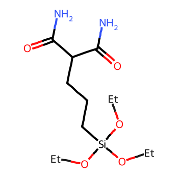 CCO[Si](CCCC(C(N)=O)C(N)=O)(OCC)OCC